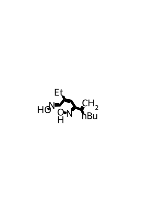 C=C(CCCC)C(C=C(C=NO)CC)=NO